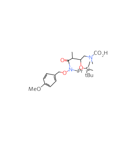 COc1ccc(CON(C(=O)C(C)C(CN(C)C(=O)O)O[Si](C)(C)C(C)(C)C)C(C)C)cc1